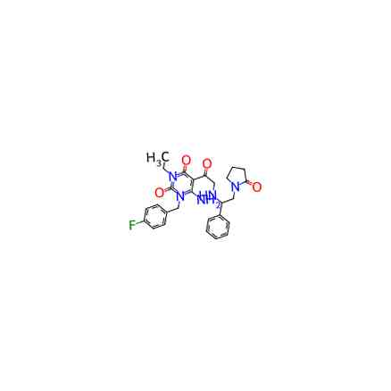 CCn1c(=O)c(C(=O)CNC(CN2CCCC2=O)c2ccccc2)c(N)n(Cc2ccc(F)cc2)c1=O